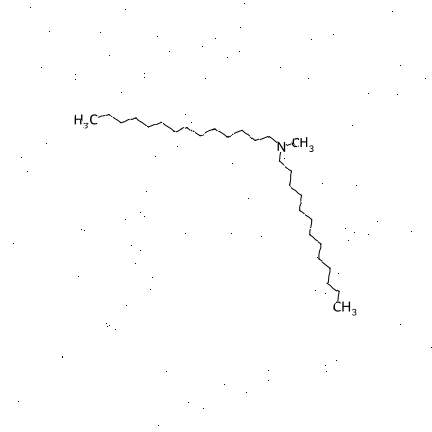 CCCCCCCCCCCCCCN(C)CCCCCCCCCCCCC